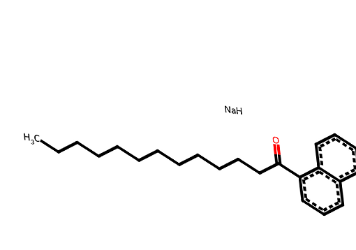 CCCCCCCCCCCCC(=O)c1cccc2ccccc12.[NaH]